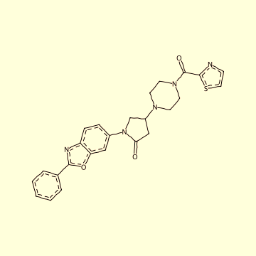 O=C(c1nccs1)N1CCN(C2CC(=O)N(c3ccc4nc(-c5ccccc5)oc4c3)C2)CC1